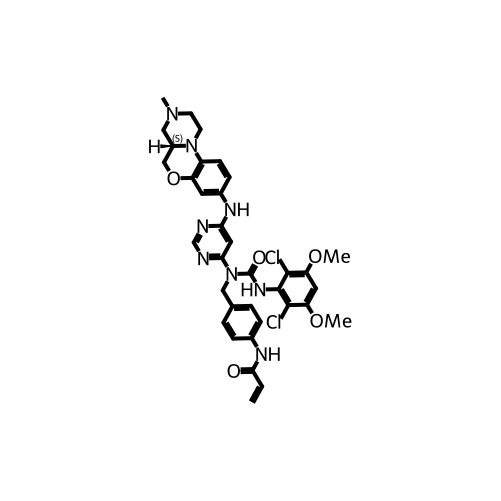 C=CC(=O)Nc1ccc(CN(C(=O)Nc2c(Cl)c(OC)cc(OC)c2Cl)c2cc(Nc3ccc4c(c3)OC[C@@H]3CN(C)CCN43)ncn2)cc1